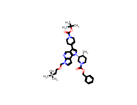 C[C@@H]1CCN(C(=O)OCc2ccccc2)C[C@@H]1n1cc(C2=CCN(C(=O)OC(C)(C)C)CC2)c2cnc3c(ccn3COCC[Si](C)(C)C)c21